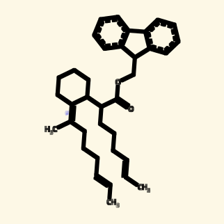 CC=CCCC/C(C)=C1/CCCCC1C(CCCC=CC)C(=O)OCC1c2ccccc2-c2ccccc21